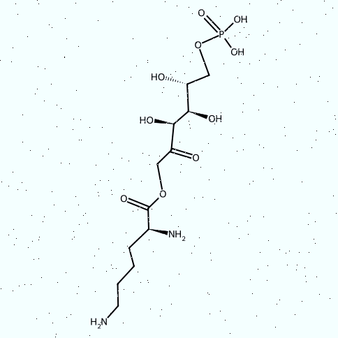 NCCCC[C@H](N)C(=O)OCC(=O)[C@@H](O)[C@H](O)[C@H](O)COP(=O)(O)O